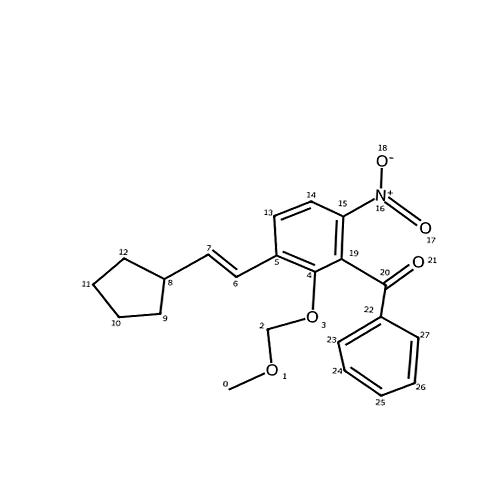 COCOc1c(/C=C/C2CCCC2)ccc([N+](=O)[O-])c1C(=O)c1ccccc1